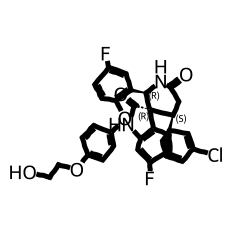 O=C1C[C@@H](C2C=C(Cl)C=CC2)[C@]2(C(=O)Nc3cc(F)ccc32)[C@@H](c2cc(F)ccc2Oc2ccc(OCCO)cc2)N1